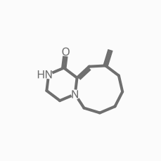 C=C1/C=C2/C(=O)NCCN2CCCCC1